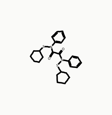 O=C(C(=O)N(SC1CCCCC1)c1ccccc1)N(SC1CCCCC1)c1ccccc1